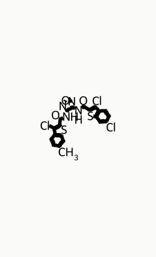 Cc1ccc2c(Cl)c(C(=O)Nc3nonc3NC(=O)c3sc4cc(Cl)ccc4c3Cl)sc2c1